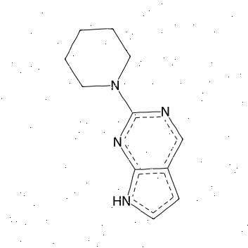 c1cc2cnc(N3CCCCC3)nc2[nH]1